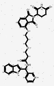 O=C1CCC(N2C(=O)c3cccc(SCCCOCCC(=O)NC(c4cccnc4)c4cc5ccccc5o4)c3C2=O)C(=O)N1